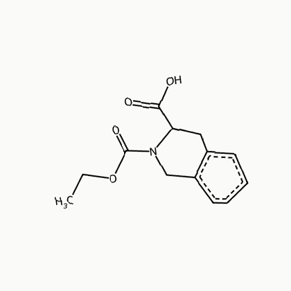 CCOC(=O)N1Cc2ccccc2CC1C(=O)O